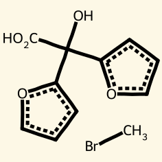 CBr.O=C(O)C(O)(c1ccco1)c1ccco1